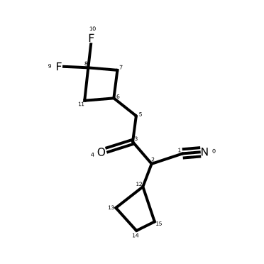 N#CC(C(=O)CC1CC(F)(F)C1)C1CCC1